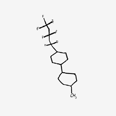 CC1CCC(C2CCC(C(F)(F)C(F)(F)C(F)(F)F)CC2)CC1